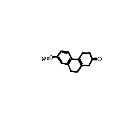 COc1ccc2c(c1)CCC1=C2CCC(=O)C1